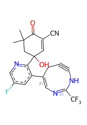 CC1(C)CC(O)(c2ncc(F)cc2/C2=C/N=C(/C(F)(F)F)NC#CC2)C=C(C#N)C1=O